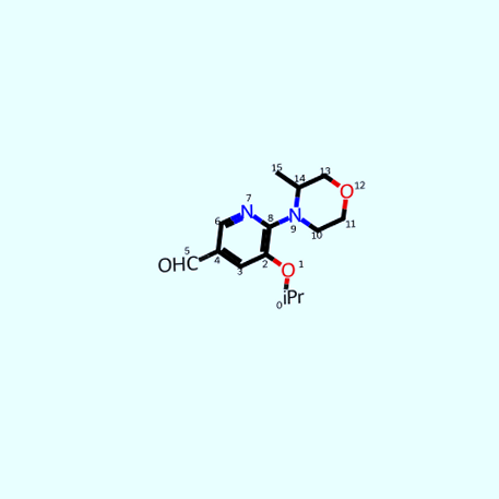 CC(C)Oc1cc(C=O)cnc1N1CCOCC1C